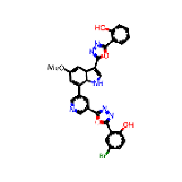 COC1=CC2C(c3nnc(-c4ccccc4O)o3)=CNC2C(c2cncc(-c3nnc(-c4cc(Br)ccc4O)o3)c2)=C1